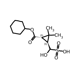 CC1(C)[C@@H](C(=O)OC2CCCCC2)[C@@H]1C(O)S(=O)(=O)O